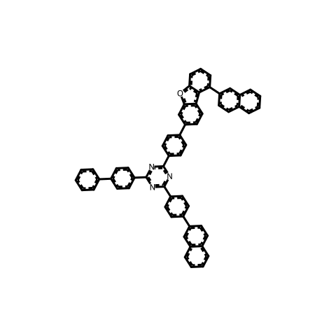 c1ccc(-c2ccc(-c3nc(-c4ccc(-c5ccc6ccccc6c5)cc4)nc(-c4ccc(-c5ccc6c(c5)oc5cccc(-c7ccc8ccccc8c7)c56)cc4)n3)cc2)cc1